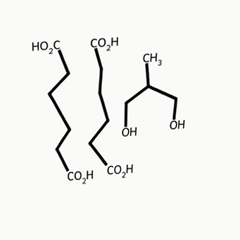 CC(CO)CO.O=C(O)CCCCC(=O)O.O=C(O)CCCCC(=O)O